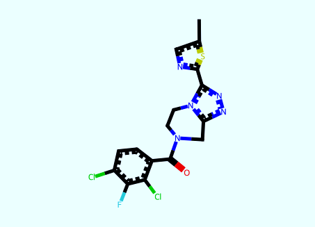 Cc1cnc(-c2nnc3n2CCN(C(=O)c2ccc(Cl)c(F)c2Cl)C3)s1